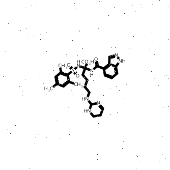 Cc1cc(C)c(S(=O)(=O)NC(CCCCNC2N=CCCN2)(NC(=O)c2cccc3[nH]ncc23)C(=O)O)c(C)c1